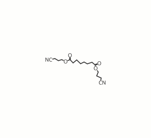 N#CCCCOC(=O)CCCCCCC(=O)OCCCC#N